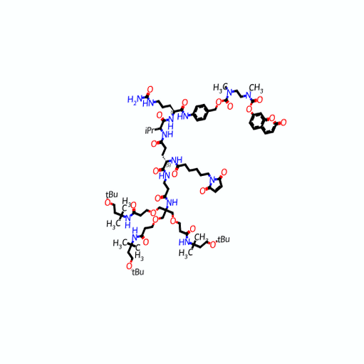 CC(C)C(NC(=O)CC[C@H](NC(=O)CCCCCN1C(=O)C=CC1=O)C(=O)NCCC(=O)NC(COCCC(=O)NC(C)(C)CCOC(C)(C)C)(COCCC(=O)NC(C)(C)CCOC(C)(C)C)COCCC(=O)NC(C)(C)CCOC(C)(C)C)C(=O)N[C@@H](CCCNC(N)=O)C(=O)Nc1ccc(COC(=O)N(C)CCN(C)C(=O)Oc2ccc3ccc(=O)oc3c2)cc1